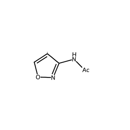 CC(=O)Nc1[c]con1